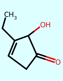 CCC1=CCC(=O)C1O